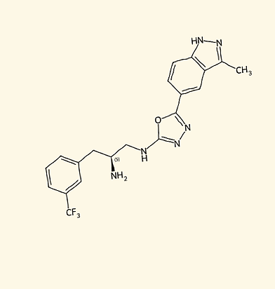 Cc1n[nH]c2ccc(-c3nnc(NC[C@@H](N)Cc4cccc(C(F)(F)F)c4)o3)cc12